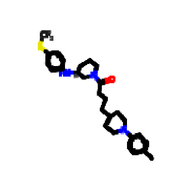 Cc1ccc(N2CCC(CCCC(=O)N3CCC[C@H](Nc4ccc(SC(F)(F)F)cc4)C3)CC2)cc1